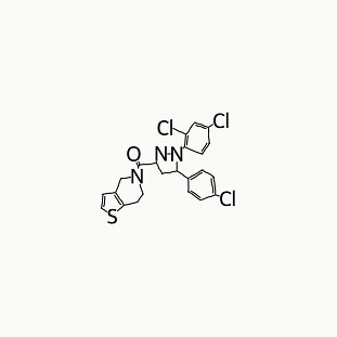 O=C(C1=NN(c2ccc(Cl)cc2Cl)C(c2ccc(Cl)cc2)C1)N1CCc2sccc2C1